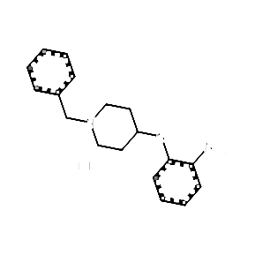 Cl.O=[N+]([O-])c1ccccc1NC1CCN(Cc2ccccc2)CC1